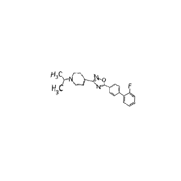 CC(C)N1CCC(c2noc(-c3ccc(-c4ccccc4F)cc3)n2)CC1